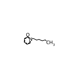 CCCCCCn1ccccc1=O